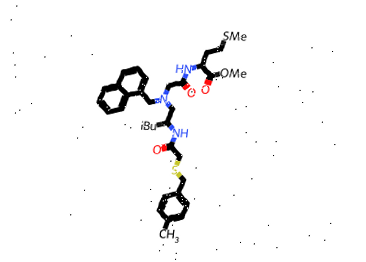 CCC(C)C(CN(CC(=O)NC(CCSC)C(=O)OC)Cc1cccc2ccccc12)NC(=O)CSCc1ccc(C)cc1